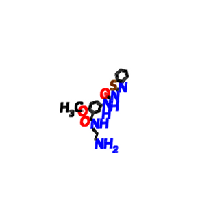 COc1ccc(NC(=O)Nc2nc3ccccc3s2)cc1C(=O)NCCCN